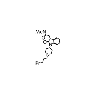 CNC(=O)CC1C(=O)N(C2CCN(CCCC(C)C)CC2)c2ccccc21